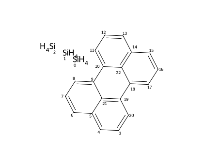 [SiH4].[SiH4].[SiH4].c1cc2cccc3c4cccc5cccc(c(c1)c23)c54